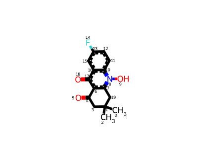 CC1(C)CC(=O)c2c(n(O)c3ccc(F)cc3c2=O)C1